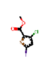 COC(=O)c1sc(I)cc1Cl